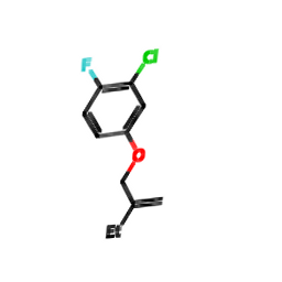 C=C(CC)COc1ccc(F)c(Cl)c1